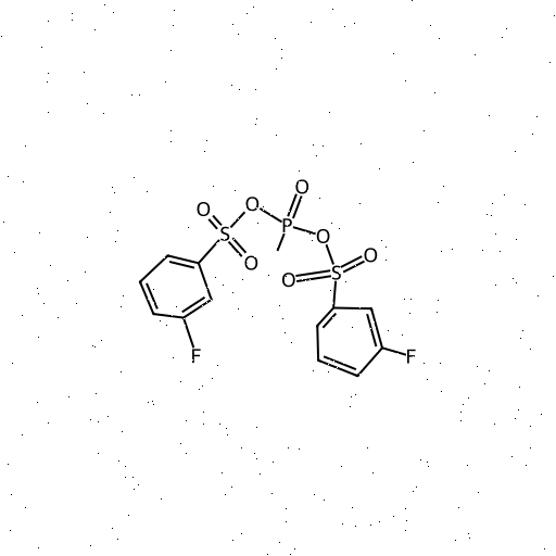 CP(=O)(OS(=O)(=O)c1cccc(F)c1)OS(=O)(=O)c1cccc(F)c1